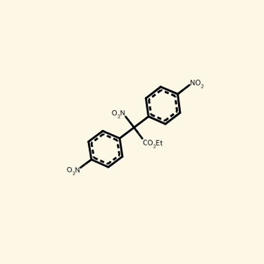 CCOC(=O)C(c1ccc([N+](=O)[O-])cc1)(c1ccc([N+](=O)[O-])cc1)[N+](=O)[O-]